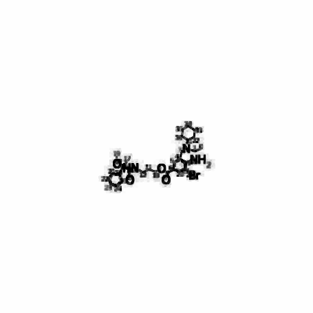 CCN(Cc1cc(C(=O)OCCCNC(=O)C(C)(OC)c2ccccc2)cc(Br)c1N)C1CCCCC1